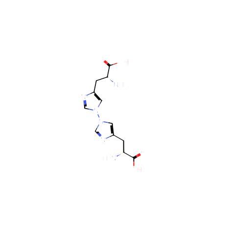 N[C@@H](Cc1cn(-n2cnc(C[C@H](N)C(=O)O)c2)cn1)C(=O)O